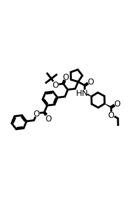 CCOC(=O)[C@H]1CC[C@@H](NC(=O)C2(CC(Cc3cccc(C(=O)OCc4ccccc4)c3)C(=O)OC(C)(C)C)CCCC2)CC1